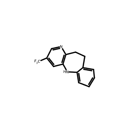 FC(F)(F)c1cnc2c(c1)Nc1ccccc1CC2